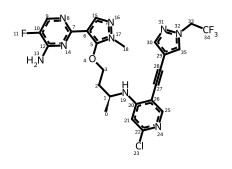 C[C@@H](CCOc1c(-c2ncc(F)c(N)n2)cnn1C)Nc1cc(Cl)ncc1C#Cc1cnn(CC(F)(F)F)c1